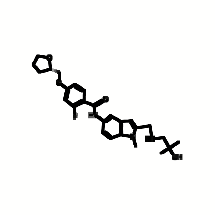 Cn1c(CNCC(C)(C)O)cc2cc(NC(=O)c3ccc(OC[C@@H]4CCCO4)cc3F)ccc21